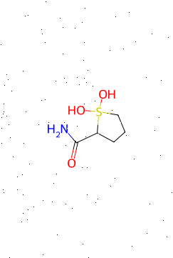 NC(=O)C1CCCS1(O)O